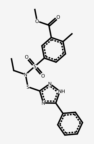 CCN(Sc1n[nH]c(-c2ccccc2)n1)S(=O)(=O)c1ccc(C)c(C(=O)OC)c1